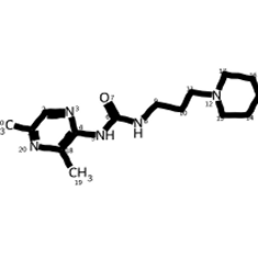 Cc1cnc(NC(=O)NCCCN2CCCCC2)c(C)n1